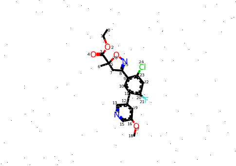 CCOC(=O)C1(C)CC(c2cc(-c3cncc(OC)c3)c(F)cc2Cl)=NO1